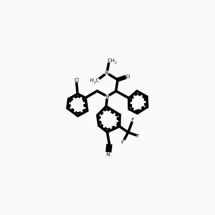 CN(C)C(=O)C(c1ccccc1)N(Cc1ccccc1Cl)c1ccc(C#N)c(C(F)(F)F)c1